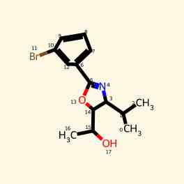 CC(C)C1N=C(c2cccc(Br)c2)OC1C(C)O